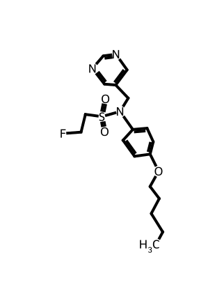 CCCCCOc1ccc(N(Cc2cncnc2)S(=O)(=O)CCF)cc1